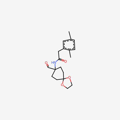 Cc1ccc(C)c(CC(=O)NC2(C=O)CCC3(CC2)OCCO3)c1